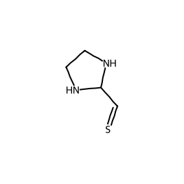 S=CC1NCCN1